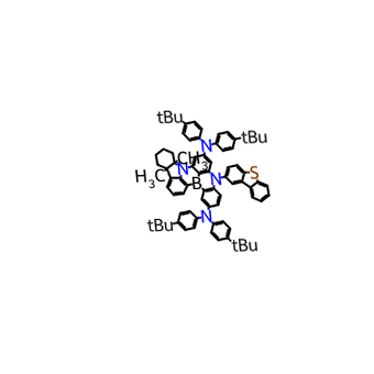 CC(C)(C)c1ccc(N(c2ccc(C(C)(C)C)cc2)c2ccc3c(c2)B2c4cccc5c4N(c4cc(N(c6ccc(C(C)(C)C)cc6)c6ccc(C(C)(C)C)cc6)cc(c42)N3c2ccc3sc4ccccc4c3c2)C2(C)CCCCC52C)cc1